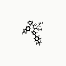 Cc1nc2ccc(-n3ncnc3[C@H]3C[C@@H](n4cc(-c5ccc(C(F)(F)F)c(F)c5)nn4)[C@@H](O)[C@@H](CO)O3)cc2s1